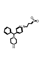 NCCC=S(=O)=O.c1ccc(C(c2ccccc2)N2CCNCC2)cc1